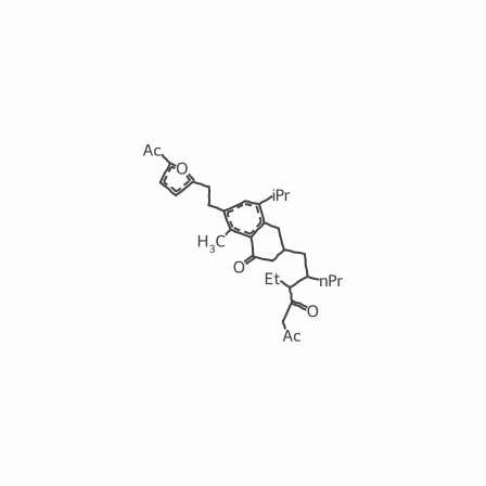 CCCC(CC1CC(=O)c2c(C)c(CCc3ccc(C(C)=O)o3)cc(C(C)C)c2C1)C(CC)C(=O)CC(C)=O